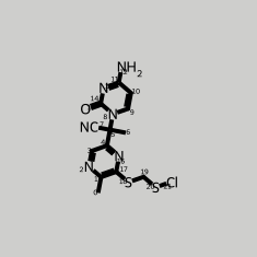 Cc1ncc(C(C)(C#N)n2ccc(N)nc2=O)nc1SCSCl